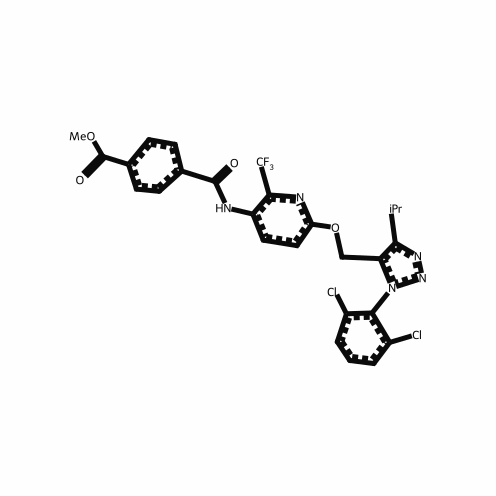 COC(=O)c1ccc(C(=O)Nc2ccc(OCc3c(C(C)C)nnn3-c3c(Cl)cccc3Cl)nc2C(F)(F)F)cc1